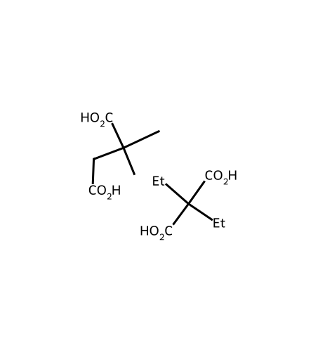 CC(C)(CC(=O)O)C(=O)O.CCC(CC)(C(=O)O)C(=O)O